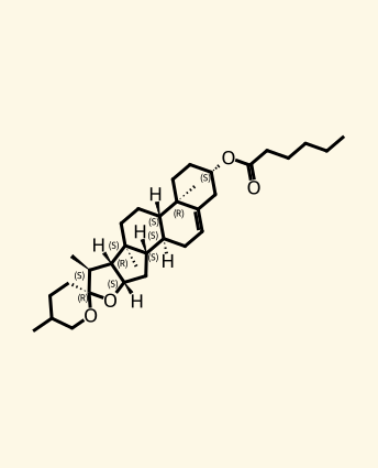 CCCCCC(=O)O[C@H]1CC[C@@]2(C)C(=CC[C@H]3[C@@H]4C[C@@H]5O[C@]6(CCC(C)CO6)[C@@H](C)[C@@H]5[C@@]4(C)CC[C@@H]32)C1